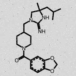 CC(C)CC1(C)CN(CC2CCN(C(=O)c3ccc4c(c3)OCO4)CC2)C(=N)N1